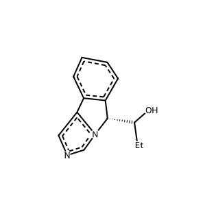 CCC(O)[C@H]1c2ccccc2-c2cncn21